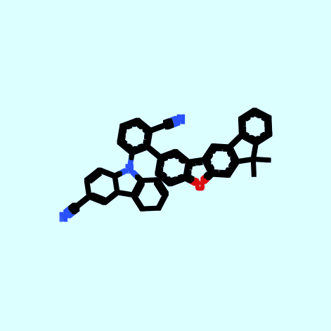 CC1(C)c2ccccc2-c2cc3c(cc21)oc1ccc(-c2c(C#N)cccc2N2C4=C(CCC=C4)C4C=C(C#N)C=CC42)cc13